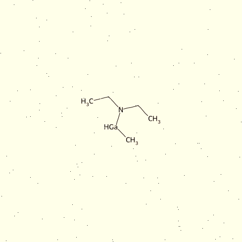 CC[N](CC)[GaH][CH3]